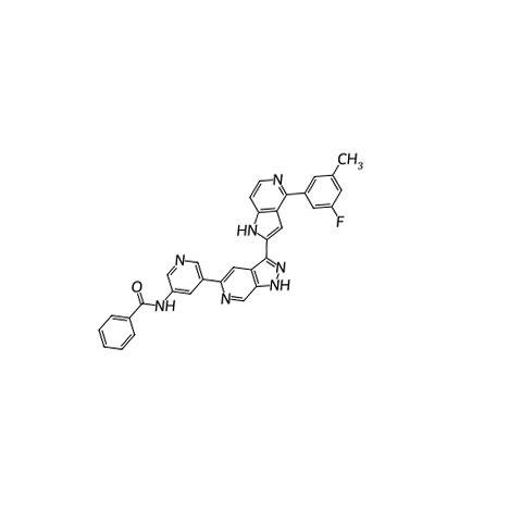 Cc1cc(F)cc(-c2nccc3[nH]c(-c4n[nH]c5cnc(-c6cncc(NC(=O)c7ccccc7)c6)cc45)cc23)c1